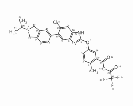 Cc1ccc(Oc2nc3cc(-c4ccc5c(c4)CN(C(C)C)C5)c(Cl)cc3[nH]2)cc1C(=O)OC(=O)C(F)(F)F